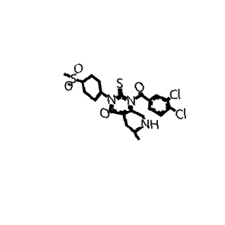 CC1Cc2c(n(C(=O)c3ccc(Cl)c(Cl)c3)c(=S)n(C3CCC(S(C)(=O)=O)CC3)c2=O)CN1